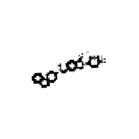 O=C1CCC(N2Cc3cc(CNC4CCC5(CCc6ccccc65)CC4)ccc3C2=O)C(=O)N1